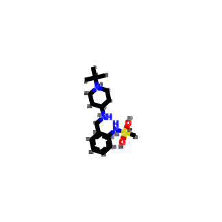 CC(C)(C)N1CCC(NCc2ccccc2NS(C)(=O)=O)CC1